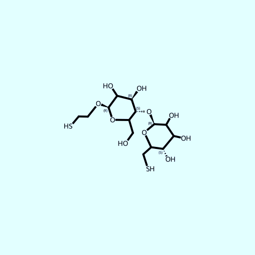 OCC1O[C@@H](OCCS)C(O)[C@@H](O)[C@@H]1O[C@@H]1OC(CS)[C@@H](O)C(O)C1O